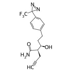 C#CC[C@@H](C(N)=O)[C@H](O)CCc1ccc(C2(C(F)(F)F)N=N2)cc1